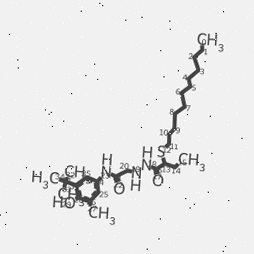 CCCCCCCCCCCCSC(CC)C(=O)NNCC(=O)Nc1cc(C)c(O)c(C(C)(C)C)c1